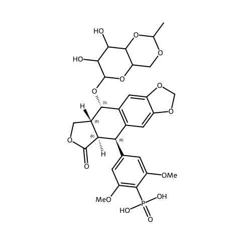 COc1cc([C@@H]2c3cc4c(cc3[C@@H](OC3OC5COC(C)OC5C(O)C3O)[C@H]3COC(=O)[C@H]23)OCO4)cc(OC)c1P(=O)(O)O